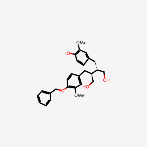 COc1cc(C[C@H](CO)[C@@H](CO)Cc2ccc(OCc3ccccc3)c(OC)c2)ccc1O